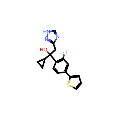 OC(Cc1nc[nH]n1)(c1ccc(-c2cccs2)cc1Cl)C1CC1